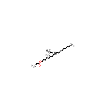 C=CC(=O)OCCCCCCCCCCCCCCCCCC.CC(C)C